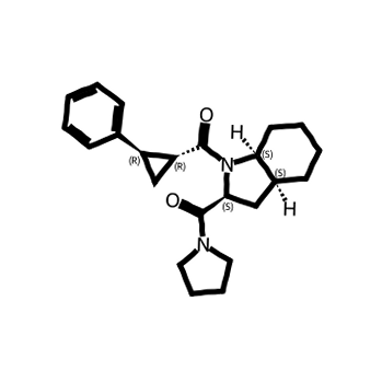 O=C([C@@H]1C[C@@H]2CCCC[C@@H]2N1C(=O)[C@@H]1C[C@H]1c1ccccc1)N1CCCC1